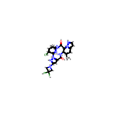 CNC(=O)c1c(NC(=O)c2cc(N3CC(F)(F)C3)nn2-c2ncccc2Cl)c(C)cc2ccnn12